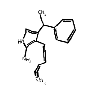 C=C/C=C\c1c(C(C)c2ccccc2)c[nH]c1N